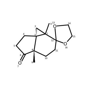 CC12C[C@]13CCC(=O)[C@@]3(C)CCC21OCCO1